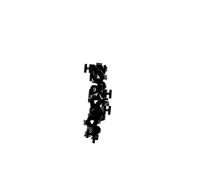 O=C(Nc1c(F)ccc(NS(=O)(=O)c2cccc(OC(F)F)c2)c1F)Oc1cnc2[nH]cnc2c1